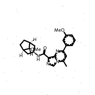 COc1cccc(-c2cc(C)n3cnc(C(=O)N[C@H]4C[C@H]5CC[C@@H](C4)[C@@H]5OC)c3n2)c1